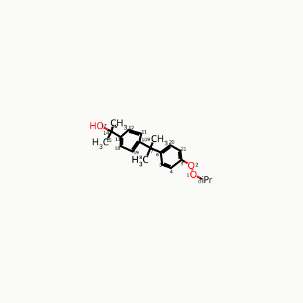 CC(C)OOc1ccc(C(C)(C)c2ccc(C(C)(C)O)cc2)cc1